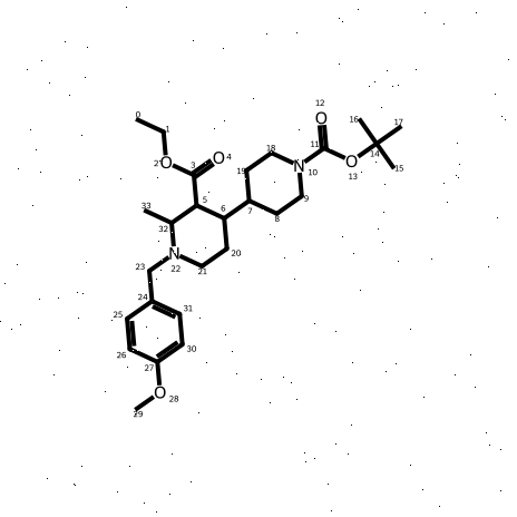 CCOC(=O)C1C(C2CCN(C(=O)OC(C)(C)C)CC2)CCN(Cc2ccc(OC)cc2)C1C